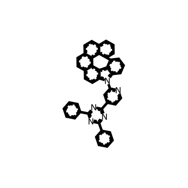 c1ccc(-c2nc(-c3ccccc3)nc(-c3ccnc(-n4c5cccc6c5c5c7c(ccc8ccc9cccc-6c9c87)ccc54)c3)n2)cc1